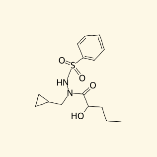 CCCC(O)C(=O)N(CC1CC1)NS(=O)(=O)c1ccccc1